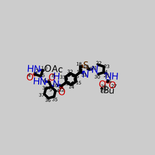 CC(=O)OC1NC(=O)C1NC(=O)C1(NC(=O)c2ccc(-c3csc(N4CCC(NC(=O)OC(C)(C)C)C4)n3)cc2)CCCCC1